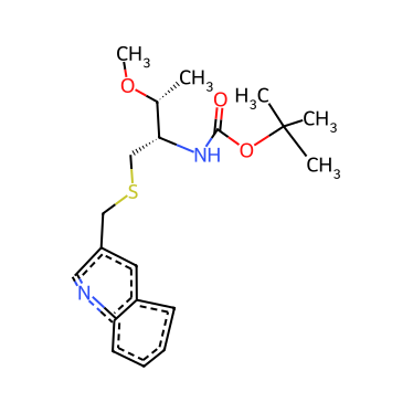 CO[C@H](C)[C@@H](CSCc1cnc2ccccc2c1)NC(=O)OC(C)(C)C